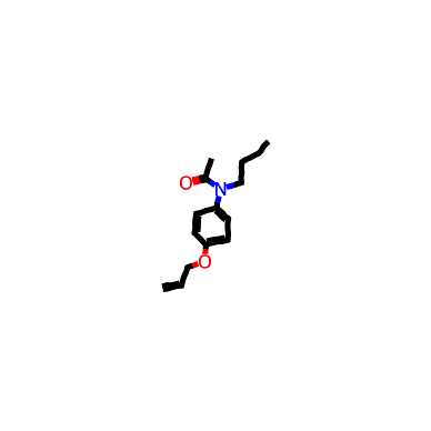 C=CCOc1ccc(N(CCCC)C(C)=O)cc1